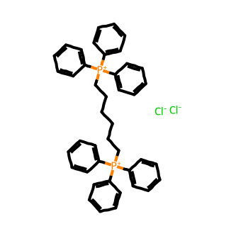 [Cl-].[Cl-].c1ccc([P+](CCCCCC[P+](c2ccccc2)(c2ccccc2)c2ccccc2)(c2ccccc2)c2ccccc2)cc1